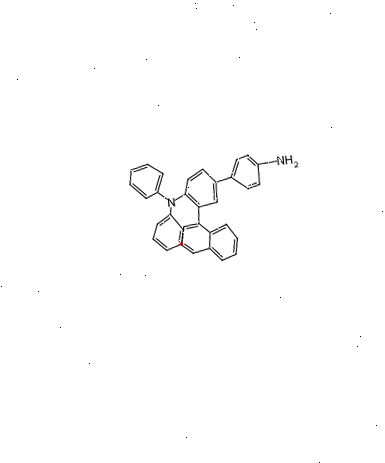 Nc1ccc(-c2ccc(N(c3ccccc3)c3ccccc3)c(-c3cccc4ccccc34)c2)cc1